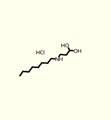 CCCCCCCCNCCC(O)O.Cl